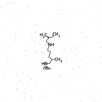 C=CC(=C)CNCCCC(C)CNCCCC